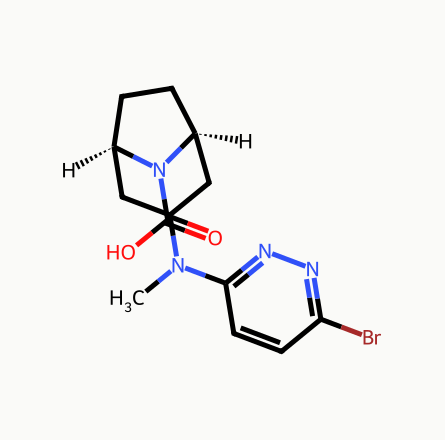 CN(c1ccc(Br)nn1)C1C[C@H]2CC[C@@H](C1)N2C(=O)O